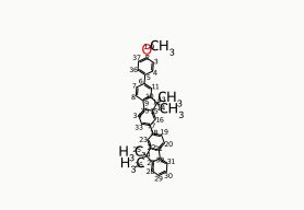 COc1ccc(-c2ccc3c(c2)C(C)(C)c2cc(-c4ccc5c(c4)C(C)(C)c4ccccc4-5)ccc2-3)cc1